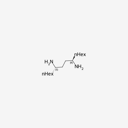 CCCCCC[C@@H](N)CC[C@@H](N)CCCCCC